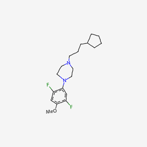 COc1cc(F)c(N2CCN(CCCC3CCCC3)CC2)cc1F